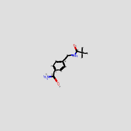 CC(C)(C)C(=O)NCc1ccc(C(N)=O)cc1